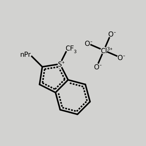 CCCc1cc2ccccc2[s+]1C(F)(F)F.[O-][Cl+3]([O-])([O-])[O-]